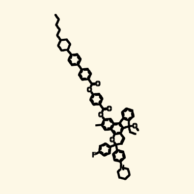 CCCCCC1CCC(c2ccc(-c3ccc(C(=O)Oc4ccc(C(=O)Oc5cc6c7c(c8c(c6cc5C)OC(c5ccc(F)cc5)(c5ccc(N6CCCCC6)cc5)C=C8)C(CC)(OC)c5ccccc5-7)cc4)cc3)cc2)CC1